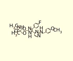 CNC(=O)C1(C)COC(c2nc(-c3ccc(F)cc3)c(-c3ccnc(NCc4ccc(OC)cc4)n3)[nH]2)OC1